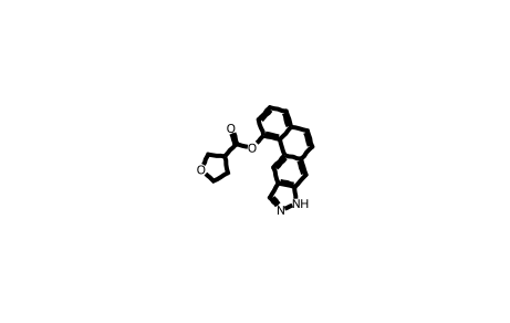 O=C(Oc1cccc2ccc3cc4[nH]ncc4cc3c12)C1CCOC1